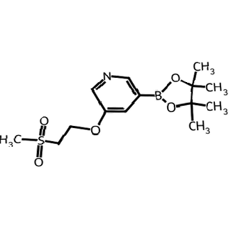 CC1(C)OB(c2cncc(OCCS(C)(=O)=O)c2)OC1(C)C